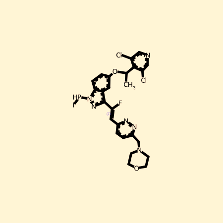 CC(Oc1ccc2c(c1)c(/C(F)=C/c1ccc(CN3CCOCC3)nn1)nn2PI)c1c(Cl)cncc1Cl